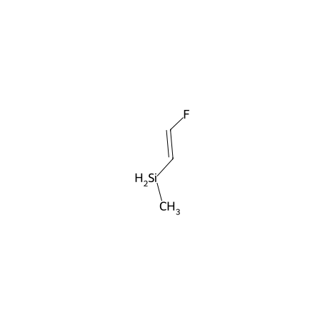 C[SiH2]C=CF